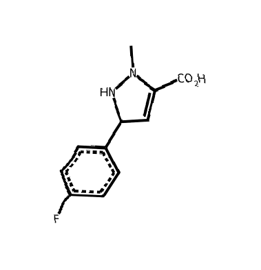 CN1NC(c2ccc(F)cc2)C=C1C(=O)O